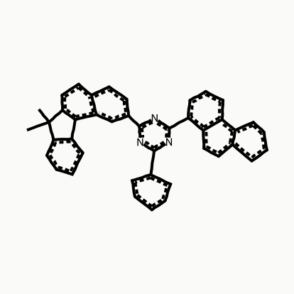 CC1(C)c2ccccc2-c2c1ccc1ccc(-c3nc(-c4ccccc4)nc(-c4cccc5c4ccc4ccccc45)n3)cc21